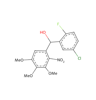 COc1cc(C(O)c2cc(Cl)ccc2F)c([N+](=O)[O-])c(OC)c1OC